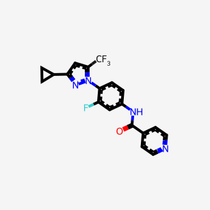 O=C(Nc1ccc(-n2nc(C3CC3)cc2C(F)(F)F)c(F)c1)c1ccncc1